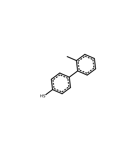 Cc1ccccc1-c1ccc(S)cc1